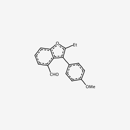 CCc1oc2cccc(C=O)c2c1-c1ccc(OC)cc1